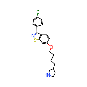 Clc1ccc(-c2nsc3cc(OCCCCC4CCNC4)ccc23)cc1